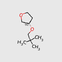 CC(C)(C)CO[C@H]1CCOC1